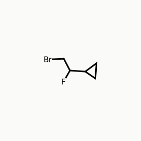 FC(CBr)C1CC1